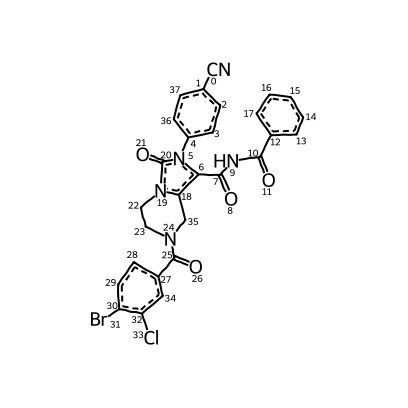 N#Cc1ccc(-n2c(C(=O)NC(=O)c3ccccc3)c3n(c2=O)CCN(C(=O)c2ccc(Br)c(Cl)c2)C3)cc1